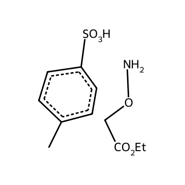 CCOC(=O)CON.Cc1ccc(S(=O)(=O)O)cc1